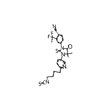 CC1(C)C(=O)N(c2ccc(C#N)c(C(F)(F)F)c2)C(=S)N1c1ccc(CCCCN=C=S)nc1